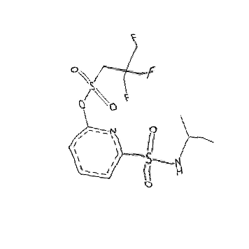 CC(C)NS(=O)(=O)c1cccc(OS(=O)(=O)CC(F)(F)F)n1